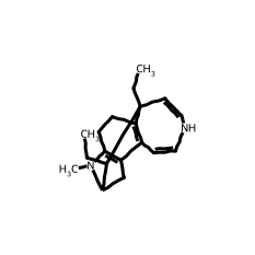 CCC1C2CC3=C(CCC4=C3/C=C\N/C=C\C41CC)N2C